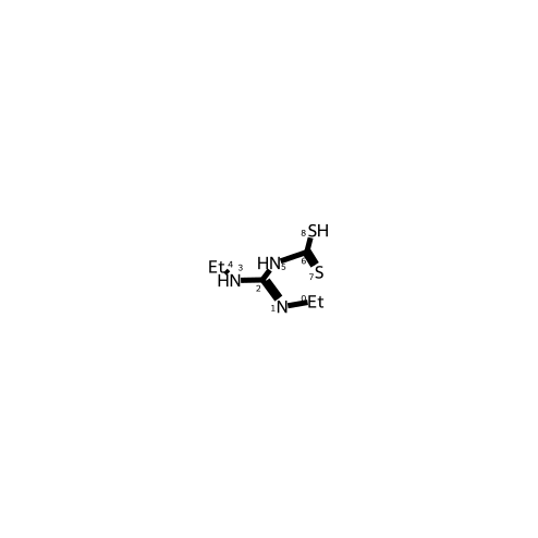 CC/N=C(/NCC)NC(=S)S